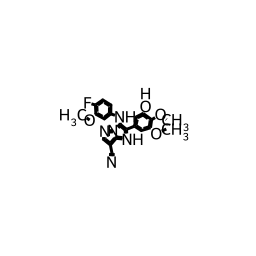 COc1cc(Nc2c(-c3cc(O)c(OC)c(OC)c3)[nH]c3c(C#N)cnn23)ccc1F